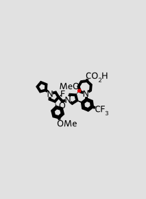 COC[C@H]1CN(C(=O)[C@]2(F)CN(C3CCCC3)C[C@H]2c2ccc(OC)cc2)C[C@@H]1c1ccc(C(F)(F)F)cc1N1CCCC(C(=O)O)CC1